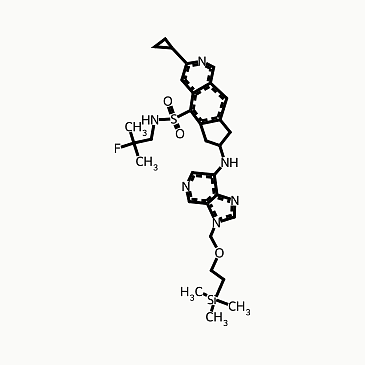 CC(C)(F)CNS(=O)(=O)c1c2c(cc3cnc(C4CC4)cc13)CC(Nc1cncc3c1ncn3COCC[Si](C)(C)C)C2